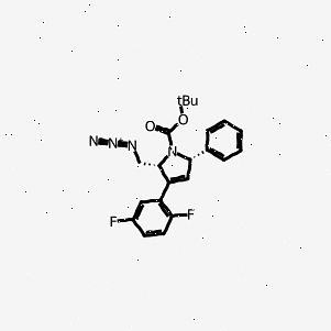 CC(C)(C)OC(=O)N1[C@@H](CN=[N+]=[N-])C(c2cc(F)ccc2F)=C[C@H]1c1ccccc1